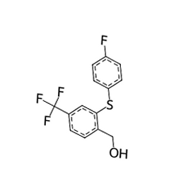 OCc1ccc(C(F)(F)F)cc1Sc1ccc(F)cc1